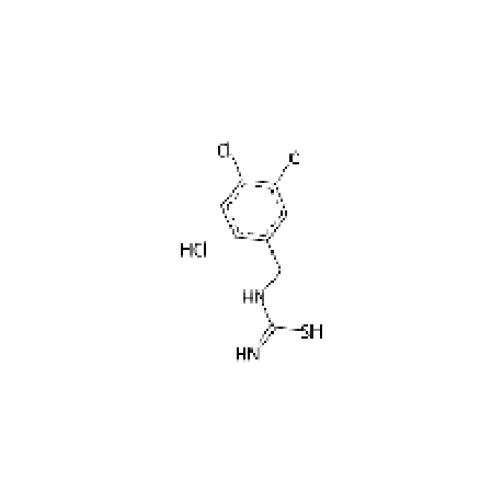 Cl.N=C(S)NCc1ccc(Cl)c(Cl)c1